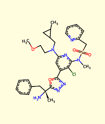 COCCN(CC1CC1C)c1cc(-c2nnc([C@](C)(N)Cc3ccccc3)o2)c(Cl)c(N(C)S(=O)(=O)Cc2ccccn2)n1